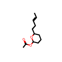 CC=CCCC1CCCC(OC(C)=O)O1